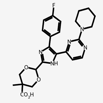 CC1(C(=O)O)COC(c2nc(-c3ccc(F)cc3)c(-c3ccnc(N4CCCCC4)n3)[nH]2)OC1